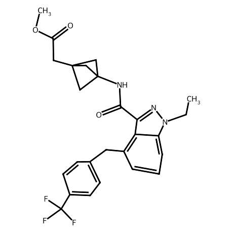 CCn1nc(C(=O)NC23CC(CC(=O)OC)(C2)C3)c2c(Cc3ccc(C(F)(F)F)cc3)cccc21